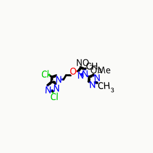 COc1nc(C)ncc1-n1nc(OCCCn2cc(Cl)c3cnc(Cl)nc32)c([N+](=O)[O-])c1C